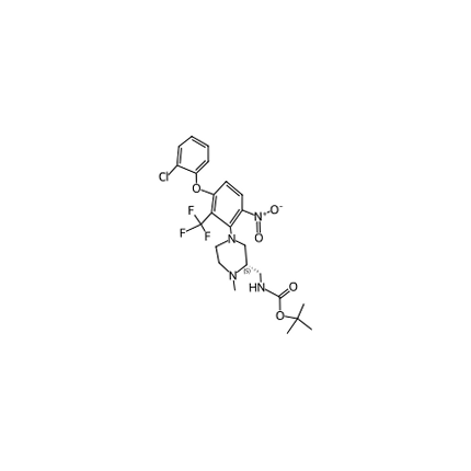 CN1CCN(c2c([N+](=O)[O-])ccc(Oc3ccccc3Cl)c2C(F)(F)F)C[C@@H]1CNC(=O)OC(C)(C)C